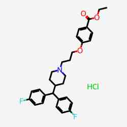 CCOC(=O)c1ccc(OCCCN2CCC(C(c3ccc(F)cc3)c3ccc(F)cc3)CC2)cc1.Cl